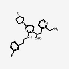 NCc1ncccc1CN(C=O)c1ccc(N2CC[C@@H](F)C2)nc1NCCc1cccc(F)c1